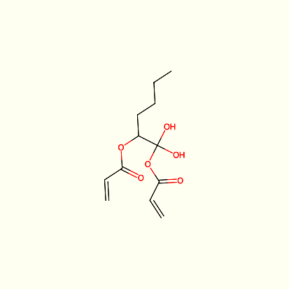 C=CC(=O)OC(CCCC)C(O)(O)OC(=O)C=C